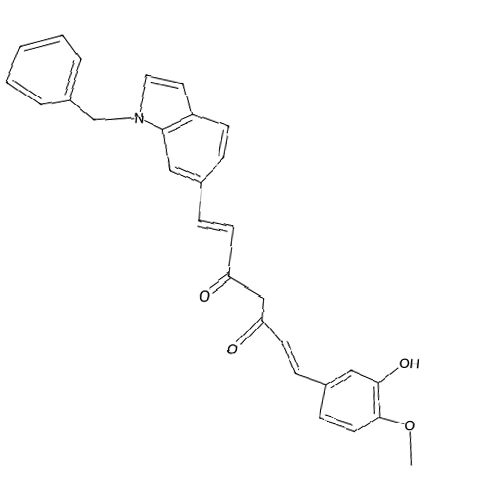 COc1ccc(/C=C/C(=O)CC(=O)/C=C/c2ccc3ccn(Cc4ccccc4)c3c2)cc1O